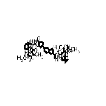 COC(=O)N[C@H](C(=O)N1CC2(CC2)C[C@H]1c1ncc(-c2ccc3cc(-c4ccc5c(=O)[nH]c([C@@H]6C[C@@H]7CCCC[C@@H]7N6C(=O)[C@@H](NC(=O)OC)C(C)C)nc5c4)ccc3c2)[nH]1)C(C)C